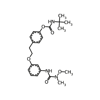 CON(C)C(=O)Nc1cccc(OCCc2ccc(OC(=O)NC(C)(C)C)cc2)c1